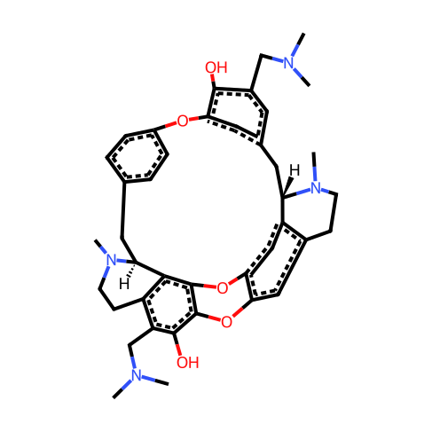 CN(C)Cc1cc2cc(c1O)Oc1ccc(cc1)C[C@H]1c3c(c(CN(C)C)c(O)c4c3Oc3cc5c(cc3O4)CCN(C)[C@H]5C2)CCN1C